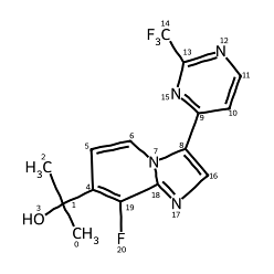 CC(C)(O)c1ccn2c(-c3ccnc(C(F)(F)F)n3)cnc2c1F